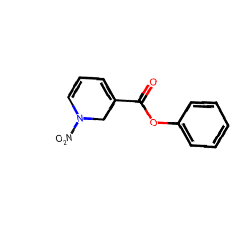 O=C(Oc1ccccc1)C1=CC=CN([N+](=O)[O-])C1